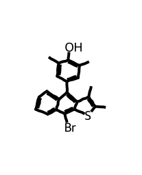 Cc1cc(-c2c3ccccc3c(Br)c3sc(C)c(C)c23)cc(C)c1O